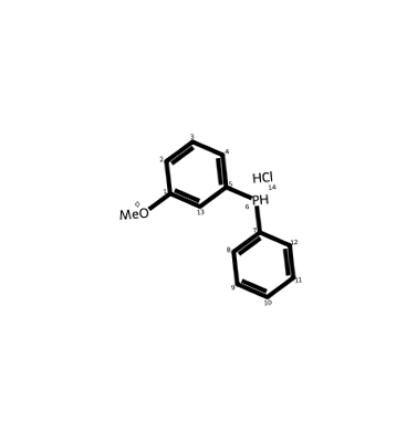 COc1cccc(Pc2ccccc2)c1.Cl